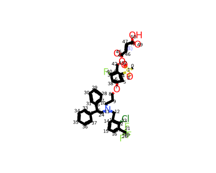 CS(=O)(=O)c1cc(OCCCN(Cc2cccc(C(F)(F)F)c2Cl)CC(c2ccccc2)c2ccccc2)cc(F)c1COC(=O)/C=C/C(=O)O